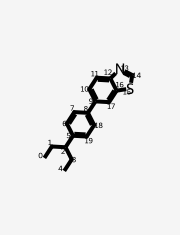 CCC(CC)c1ccc(-c2ccc3ncsc3c2)cc1